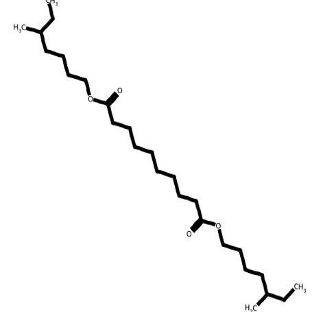 CCC(C)CCCCOC(=O)CCCCCCCCC(=O)OCCCCC(C)CC